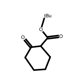 CC(C)(C)OC(=O)C1CCCCC1=O